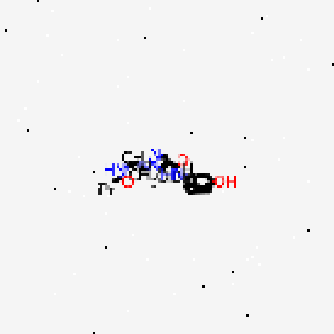 CC(C)COc1c(C(=O)N[C@H]2C3CC4CC2C[C@@](O)(C4)C3)cnn1/C=C/C(C)(C)NC(=O)CC(C)C